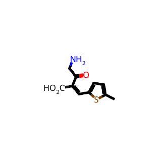 Cc1ccc(C=C(C(=O)O)C(=O)CN)s1